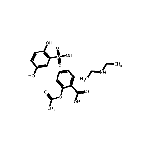 CC(=O)Oc1ccccc1C(=O)O.CCNCC.O=S(=O)(O)c1cc(O)ccc1O